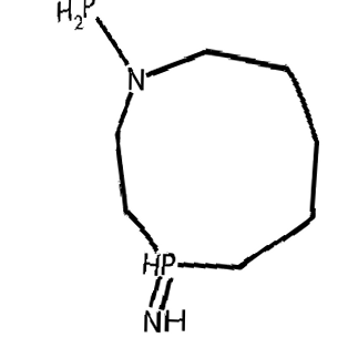 N=[PH]1CCCCCN(P)CC1